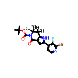 [2H]C1([2H])c2[nH]c(-c3ccnc(Br)c3F)cc2C(=O)N(C(=O)OC(C)(C)C)C1([2H])[2H]